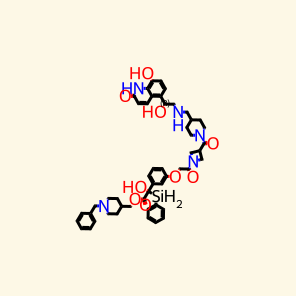 O=C(COc1cccc(C(O)([SiH2]c2ccccc2)C(=O)OCC2CCN(Cc3ccccc3)CC2)c1)N1CC(C(=O)N2CCC(CNC[C@H](O)c3ccc(O)c4[nH]c(=O)ccc34)CC2)C1